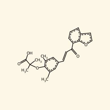 Cc1cc(/C=C/C(=O)c2cccc3ccoc23)cc(C)c1OC(C)(C)C(=O)O